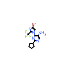 Nc1cnc(C2CCCC2)nc1-n1cc(Br)nc1C(F)(F)F